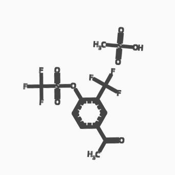 CC(=O)c1ccc(OS(=O)(=O)C(F)(F)F)c(C(F)(F)F)c1.CS(=O)(=O)O